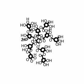 O=C(OC[C@H]1O[C@@H](OC(=O)c2cc(O)c(O)c(OC(=O)c3cc(O)c(O)c(O)c3)c2)[C@H](OC(=O)c2cc(O)c(O)c(OC(=O)c3cc(O)c(O)c(O)c3)c2)[C@@H](OC(=O)c2cc(O)c(O)c(OC(=O)c3cc(O)c(O)c(O)c3)c2)[C@@H]1OC(=O)c1cc(O)c(O)c(OC(=O)c2cc([O-])c([O-])c(O)c2)c1)c1cc(O)c(O)c(OC(=O)c2cc(O)c(O)c(O)c2)c1.[Zn+2]